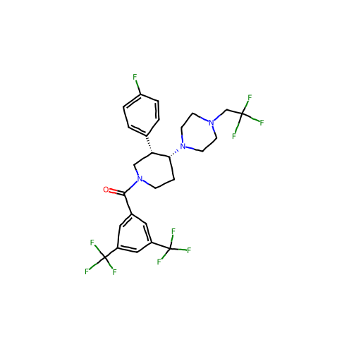 O=C(c1cc(C(F)(F)F)cc(C(F)(F)F)c1)N1CC[C@@H](N2CCN(CC(F)(F)F)CC2)[C@@H](c2ccc(F)cc2)C1